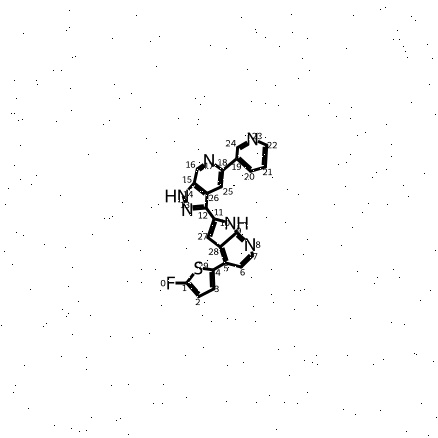 Fc1ccc(-c2ccnc3[nH]c(-c4n[nH]c5cnc(-c6cccnc6)cc45)cc23)s1